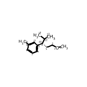 COCC[C@H](c1cccc(C)c1)C(C)C